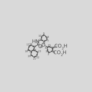 O=C(O)c1ccc(Oc2ccccc2NC(=O)c2cccc3ccccc23)cc1C(=O)O